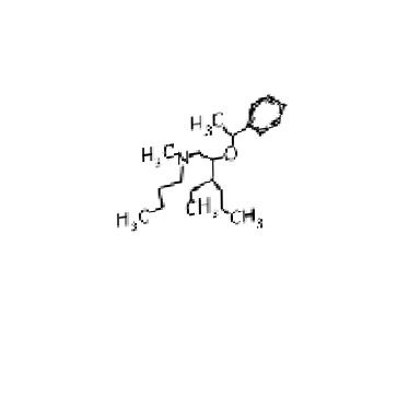 CCCCN(C)CC(OC(C)c1ccccc1)C(CC)CCC